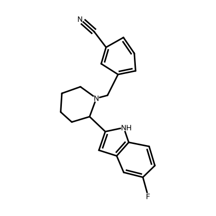 N#Cc1cccc(CN2CCCCC2c2cc3cc(F)ccc3[nH]2)c1